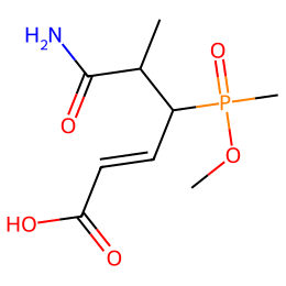 COP(C)(=O)C(C=CC(=O)O)C(C)C(N)=O